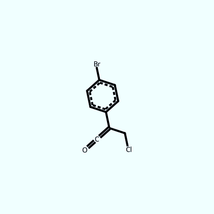 O=C=C(CCl)c1ccc(Br)cc1